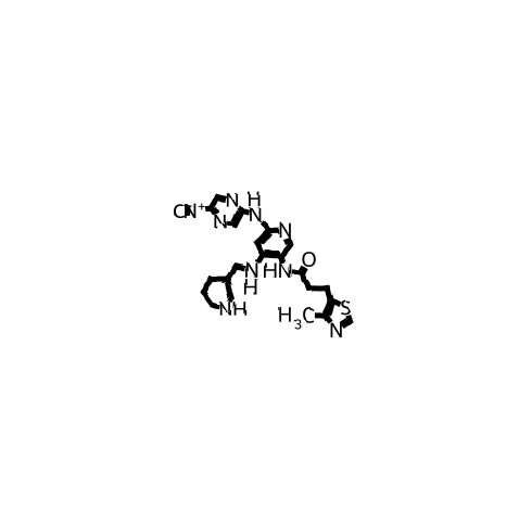 [C-]#[N+]c1cnc(Nc2cc(NCC3CCCNC3)c(NC(=O)CCc3scnc3C)cn2)cn1